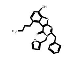 CCCCc1ccc(O)c2sc3nc(Cc4ccccc4)n(Cc4ccco4)c(=O)c3c12